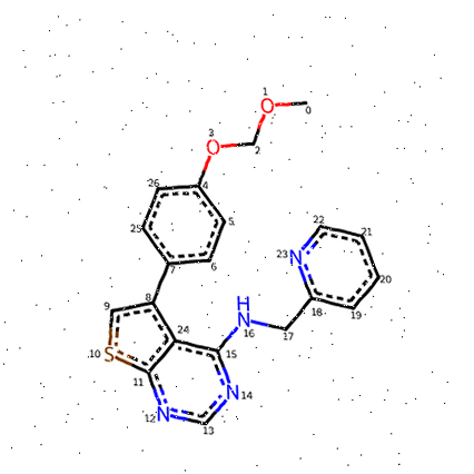 COCOc1ccc(-c2csc3ncnc(NCc4ccccn4)c23)cc1